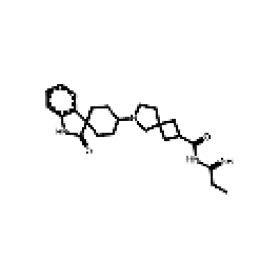 CCC(=N)NC(=O)C1CC2(CCN(C3CCC4(CC3)C(=O)Nc3ccccc34)C2)C1